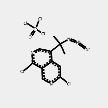 CC(C)(N=[N+]=[N-])c1cnc(Cl)c2cnc(Cl)cc12.O=P(Cl)(Cl)Cl